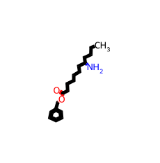 CCCCC(N)CCCCCCC(=O)OCc1ccccc1